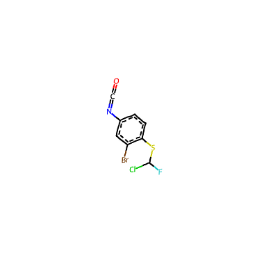 O=C=Nc1ccc(SC(F)Cl)c(Br)c1